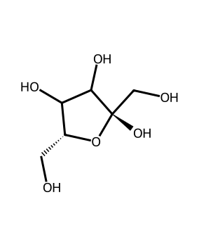 OC[C@H]1O[C@@](O)(CO)C(O)C1O